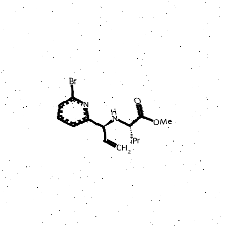 C=C[C@H](N[C@H](C(=O)OC)C(C)C)c1cccc(Br)n1